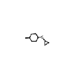 CC1CCC(SC2CC2)CC1